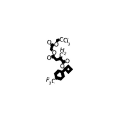 C=C(CC(=O)OCC(=O)OCC(Cl)(Cl)Cl)C(=O)OC1(c2ccc(C(F)(F)F)cc2)CCC1